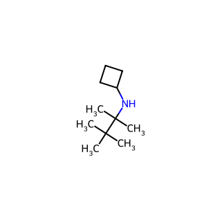 CC(C)(C)C(C)(C)NC1CCC1